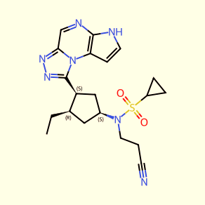 CC[C@@H]1C[C@H](N(CCC#N)S(=O)(=O)C2CC2)C[C@@H]1c1nnc2cnc3[nH]ccc3n12